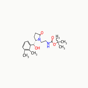 Cc1cccc(C(O)[C@@H]2CCC(=O)N2CCNC(=O)OC(C)(C)C)c1C